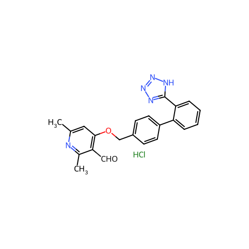 Cc1cc(OCc2ccc(-c3ccccc3-c3nnn[nH]3)cc2)c(C=O)c(C)n1.Cl